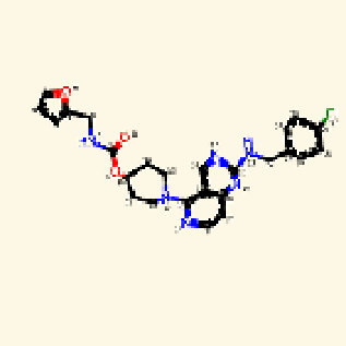 O=C(NCc1ccco1)OC1CCN(c2nccc3nc(NCc4ccc(Cl)cc4)ncc23)CC1